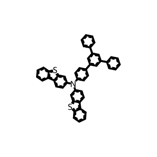 c1ccc(-c2cc(-c3ccccc3)cc(-c3ccc(N(c4ccc5c(c4)sc4ccccc45)c4ccc5c(c4)sc4ccccc45)cc3)c2)cc1